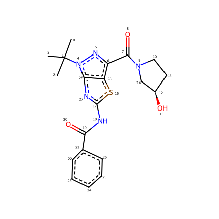 CC(C)(C)n1nc(C(=O)N2CC[C@@H](O)C2)c2sc(NC(=O)c3ccccc3)nc21